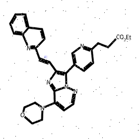 CCOC(=O)CCc1ccc(-c2c(/C=C/c3ccc4ccccc4n3)nc3c(N4CCOCC4)ccnn23)cn1